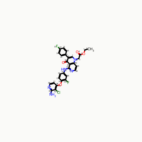 CCOC(=O)Cn1cc(-c2ccc(F)cc2)c(=O)c2c(Nc3ccc(Oc4ccnc(N)c4Cl)c(F)c3)nccc21